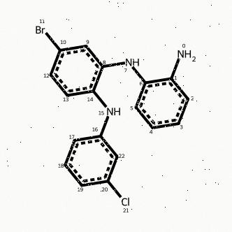 Nc1ccccc1Nc1cc(Br)ccc1Nc1cccc(Cl)c1